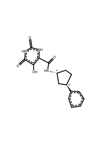 O=C(N[C@@H]1CC[C@@H](c2ccccc2)C1)c1[nH]c(=O)[nH]c(=O)c1O